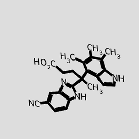 Cc1c(C)c(C)c2[nH]ccc2c1C(C)(CCC(=O)O)c1nc2cc(C#N)ccc2[nH]1